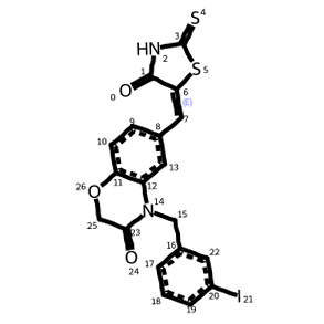 O=C1NC(=S)S/C1=C/c1ccc2c(c1)N(Cc1cccc(I)c1)C(=O)CO2